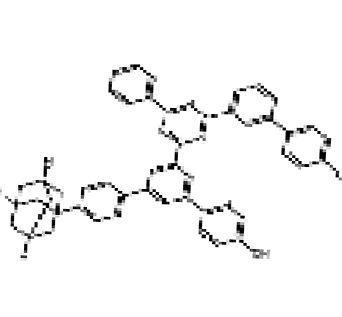 N#Cc1ccc(-c2cccc(-c3nc(-c4ccccc4)nc(-c4cc(-c5ccc(C67C[C@H]8C[C@@H](C6)C[C@@H](C7)C8)cc5)cc(-c5ccc(C#N)cn5)c4)n3)c2)cc1